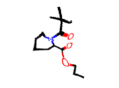 CCCOC(=O)C1CCCCN1C(=O)C(C)(C)C